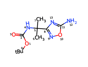 CC(C)(C)OC(=O)NC(C)(C)c1noc(N)n1